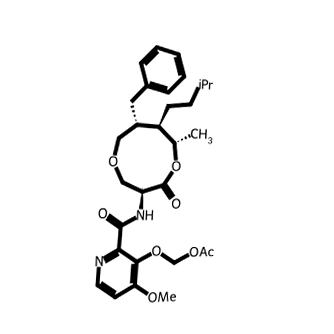 COc1ccnc(C(=O)N[C@H]2COC[C@H](Cc3ccccc3)[C@@H](CCC(C)C)[C@H](C)OC2=O)c1OCOC(C)=O